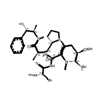 CC[C@H](C)[C@@H]([C@@H](CC(=O)N1CCC[C@H]1[C@H](OC)[C@@H](C)C(=O)N(C)[C@H](C)[C@@H](O)c1ccccc1)OC)N(C)C(=O)[C@@H](NC(=O)[C@@H](NC)C(C)C)C(C)C